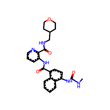 CNC(=O)Nc1ccc(C(=O)Nc2cccnc2C(=O)NCC2CCOCC2)c2ccccc12